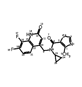 Cc1ncsc1C(=O)N(Cc1cc(=O)[nH]c2c(F)c(F)ccc12)C1CC1